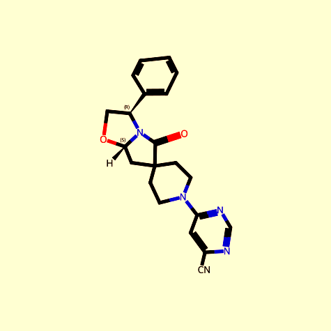 N#Cc1cc(N2CCC3(CC2)C[C@@H]2OC[C@@H](c4ccccc4)N2C3=O)ncn1